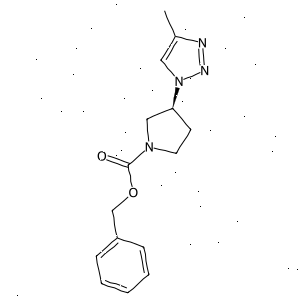 Cc1cn([C@H]2CCN(C(=O)OCc3ccccc3)C2)nn1